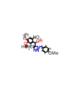 COc1ccc(Cn2nnc(C(=O)O)c2C(O)c2cc(OC(C)C)c(OC(C)C)cc2[N+](=O)[O-])cc1